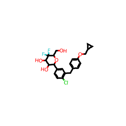 OCC1OC(c2ccc(Cl)c(Cc3ccc(OCC4CC4)cc3)c2)C(O)C(O)C1(F)F